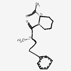 CC(=O)[C@@H]1CCCCN1C(=O)[C@@H](C)CCc1ccccc1